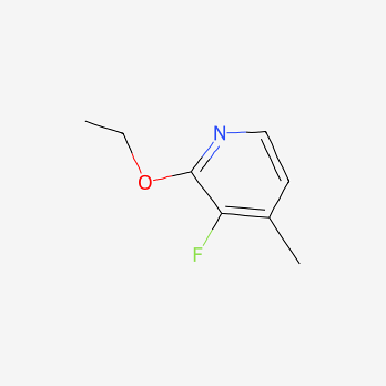 CCOc1nccc(C)c1F